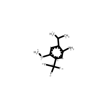 COc1cc(C(C)C)c(N)cc1C(F)(F)F